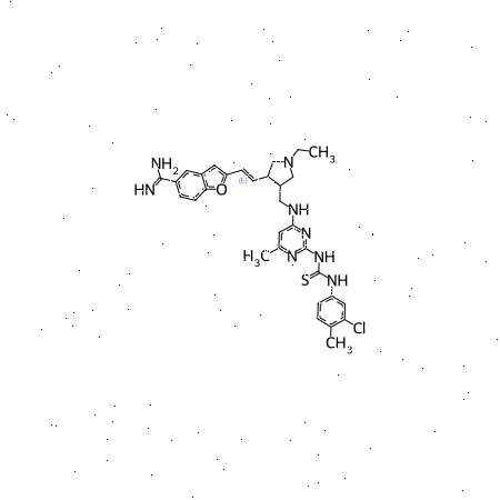 CCN1CC(/C=C/c2cc3cc(C(=N)N)ccc3o2)C(CNc2cc(C)nc(NC(=S)Nc3ccc(C)c(Cl)c3)n2)C1